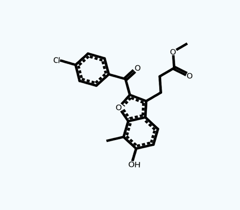 COC(=O)CCc1c(C(=O)c2ccc(Cl)cc2)oc2c(C)c(O)ccc12